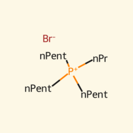 CCCCC[P+](CCC)(CCCCC)CCCCC.[Br-]